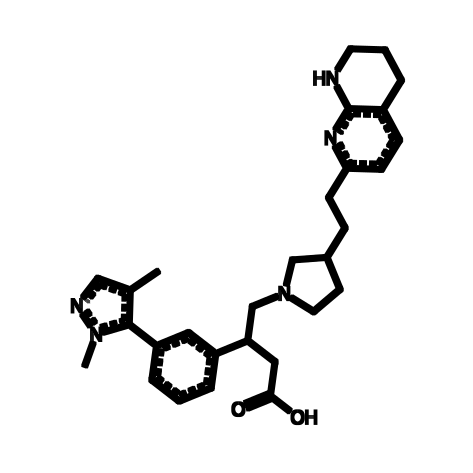 Cc1cnn(C)c1-c1cccc(C(CC(=O)O)CN2CCC(CCc3ccc4c(n3)NCCC4)C2)c1